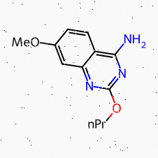 CCCOc1nc(N)c2ccc(OC)cc2n1